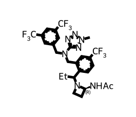 CCC(c1ccc(C(F)(F)F)cc1CN(Cc1cc(C(F)(F)F)cc(C(F)(F)F)c1)c1nnn(C)n1)N1CC[C@@H]1NC(C)=O